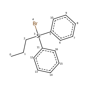 CCC[Si](Br)(c1ccccc1)c1ccccc1